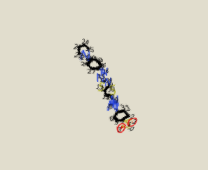 CS(=O)(=O)c1ccc(N=Nc2cc3sc(N=Nc4ccc(N5CCCC5)cc4)nc3s2)cc1